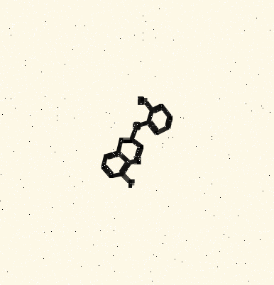 Fc1cccc2cc(Oc3ccccc3Br)cnc12